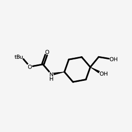 CC(C)(C)OC(=O)N[C@H]1CC[C@](O)(CO)CC1